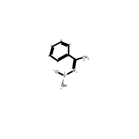 C/C(=N/[S@@+]([O-])C(C)(C)C)c1ccccc1